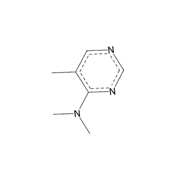 Cc1cncnc1N(C)C